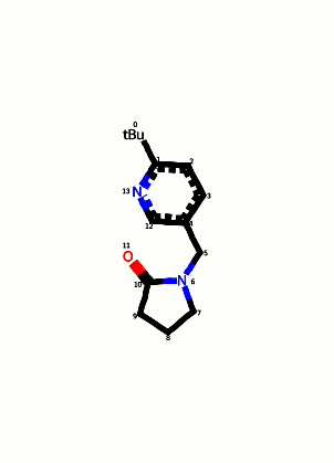 CC(C)(C)c1ccc(CN2CCCC2=O)cn1